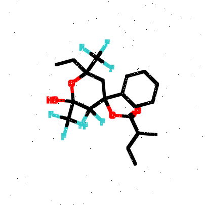 CCC(C)C(=O)OC1(C2CCCCC2)CC(CC)(C(F)(F)F)OC(O)(C(F)(F)F)C1(F)F